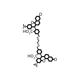 CN(C)c1ccc2c(-c3ccc(CSCCSCc4ccc(-c5c6ccc(N(C)C)cc6oc6c5ccc5cc(=O)ccc56)c(C(=O)O)c4)cc3C(=O)O)c3ccc4cc(=O)ccc4c3oc2c1